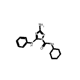 Nc1nc(Nc2ccccc2)n(C(=O)NC2CCCCC2)n1